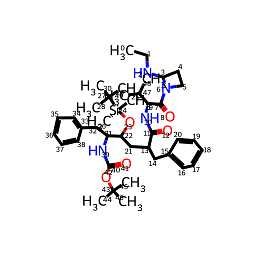 CCNC1CCN1C(=O)[C@@H](NC(=O)C(Cc1ccccc1)CC(O[Si](C)(C)C(C)(C)C)C(Cc1ccccc1)NC(=O)OC(C)(C)C)C(C)C